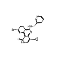 O=c1[nH]cc(C2CC2)c2nc(NCc3cccnn3)c3ccc(Br)cc3c12